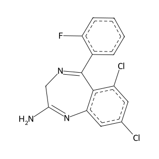 NC1=Nc2cc(Cl)cc(Cl)c2C(c2ccccc2F)=NC1